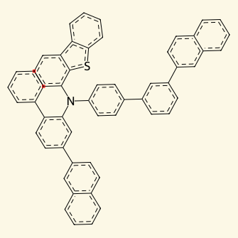 c1ccc(-c2ccc(-c3ccc4ccccc4c3)cc2N(c2ccc(-c3cccc(-c4ccc5ccccc5c4)c3)cc2)c2cccc3c2sc2ccccc23)cc1